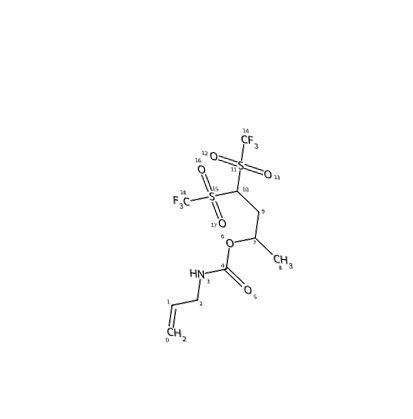 C=CCNC(=O)OC(C)CC(S(=O)(=O)C(F)(F)F)S(=O)(=O)C(F)(F)F